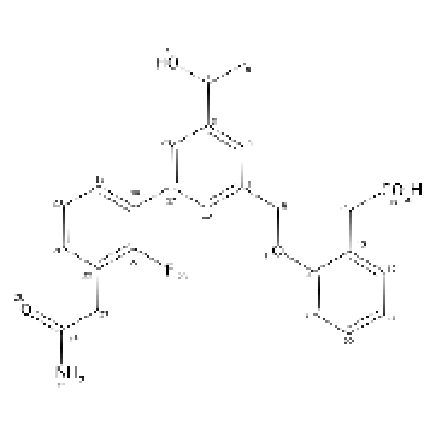 CC(O)c1cc(COc2ccccc2CC(=O)O)cc(-c2cccc(CC(N)=O)c2F)c1